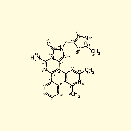 Cc1cc(-c2c(-c3ccccc3)nc(N)n3c(=O)n(Cc4nnc(C)o4)nc23)cc(C)n1